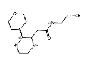 N#CCCNC(=O)CC1NCC[N][C@H]1N1CCOCC1